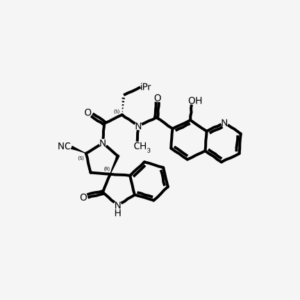 CC(C)C[C@@H](C(=O)N1C[C@]2(C[C@H]1C#N)C(=O)Nc1ccccc12)N(C)C(=O)c1ccc2cccnc2c1O